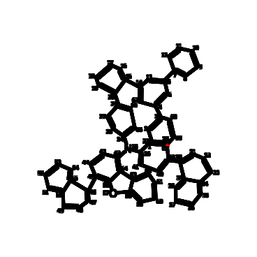 c1ccc(-c2cc(-c3ccccc3)cc(-c3ccccc3-c3ccc(N(c4ccc(-c5cccc6ccccc56)cc4)c4ccc(-c5cccc6ccccc56)c5oc6ccccc6c45)cc3)c2)cc1